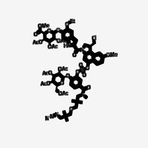 CCOc1cc2cc(C(=O)N3C[C@@H](CCl)c4c3cc(OS(=O)(=O)Oc3cc(C(=O)N(C)CC(C)(C)COCC(C)(C)CN=[N+]=[N-])ccc3O[C@@H]3O[C@H](COC(C)=O)[C@@H](OC(C)=O)[C@H](OC(C)=O)[C@H]3OC(C)=O)c3ccc(OC)cc43)[nH]c2cc1OC1O[C@H](C(=O)OC)[C@@H](OC(C)=O)[C@H](OC(C)=O)[C@H]1OC(C)=O